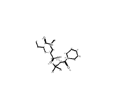 CCCC[C@H](CN(C)C=O)C(=O)N[C@H](C(=O)N1CCCCC1)C(C)(C)C